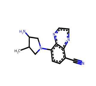 CC1CN(c2ccc(C#N)c3nccnc23)CC1N